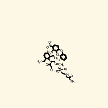 CCc1cccc(CC)c1N(COC)C(=O)CCl.Nc1c([N+](=O)[O-])ccc(Oc2ccccc2)c1Cl.O=C(O)CNCP(=O)(O)O